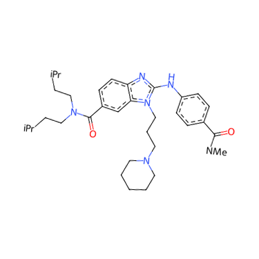 CNC(=O)c1ccc(Nc2nc3ccc(C(=O)N(CCC(C)C)CCC(C)C)cc3n2CCCN2CCCCC2)cc1